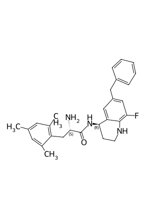 Cc1cc(C)c(C[C@H](N)C(=O)N[C@@H]2CCNc3c(F)cc(Cc4ccccc4)cc32)c(C)c1